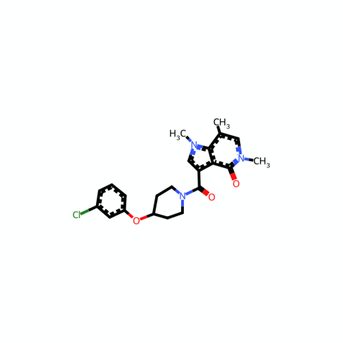 Cc1cn(C)c(=O)c2c(C(=O)N3CCC(Oc4cccc(Cl)c4)CC3)cn(C)c12